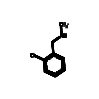 [CH2]NCc1ccccc1Cl